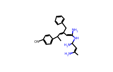 C/C(N)=C/C(N)N/C(N)=C/C(=C\C(C)c1ccc(N=O)cc1)Cc1ccccc1